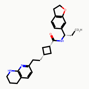 O=C(O)C[C@H](NC(=O)[C@H]1C[C@@H](CCc2ccc3c(n2)NCCC3)C1)c1ccc2c(c1)OCC2